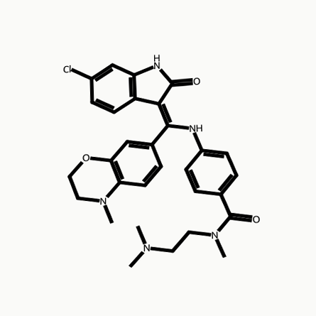 CN(C)CCN(C)C(=O)c1ccc(N/C(=C2\C(=O)Nc3cc(Cl)ccc32)c2ccc3c(c2)OCCN3C)cc1